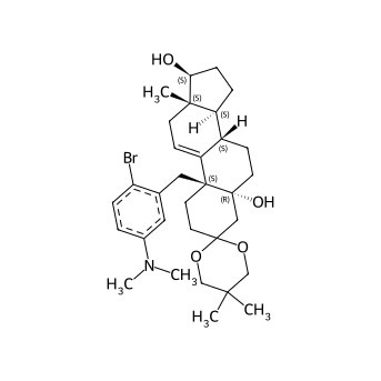 CN(C)c1ccc(Br)c(C[C@]23CCC4(C[C@]2(O)CC[C@@H]2C3=CC[C@]3(C)[C@@H](O)CC[C@@H]23)OCC(C)(C)CO4)c1